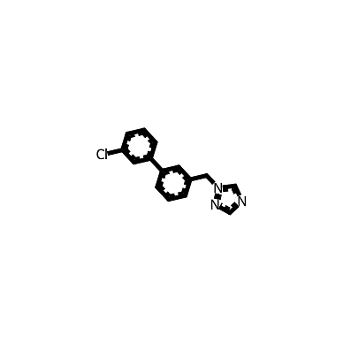 Clc1cccc(-c2cccc(Cn3cncn3)c2)c1